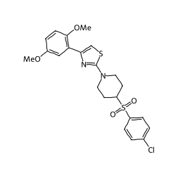 COc1ccc(OC)c(-c2csc(N3CCC(S(=O)(=O)c4ccc(Cl)cc4)CC3)n2)c1